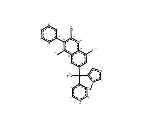 Cn1cncc1C(O)(c1ccncc1)c1cc(F)c2nc(Cl)c(-c3ccccc3)c(Cl)c2c1